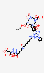 O=C(O)CC[C@H](NC(=O)N[C@@H](CCCCNC(=O)CCCCCCCNc1nc(Nc2ccc(CC3CN(CC(=O)O)CCN(CC(=O)O)CCN(CC(=O)O)CCN3CC(=O)O)cc2)nc(N2CCCCC2)n1)C(=O)O)C(=O)O.[Lu+3]